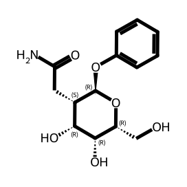 NC(=O)C[C@@H]1[C@@H](Oc2ccccc2)O[C@H](CO)[C@H](O)[C@@H]1O